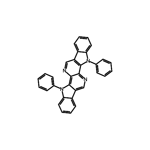 c1ccc(-n2c3ccccc3c3cnc4c(ncc5c6ccccc6n(-c6ccccc6)c54)c32)cc1